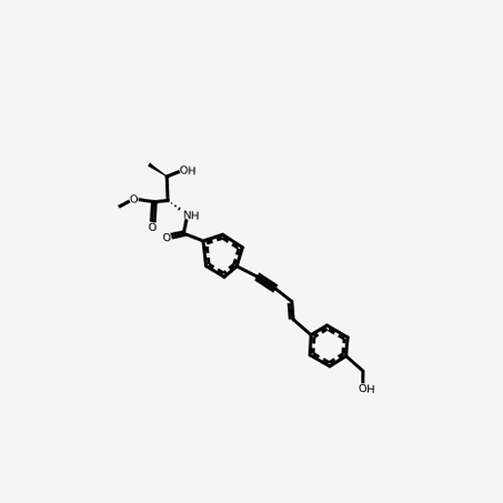 COC(=O)[C@@H](NC(=O)c1ccc(C#CC=Cc2ccc(CO)cc2)cc1)[C@@H](C)O